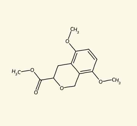 COC(=O)C1Cc2c(OC)ccc(OC)c2CO1